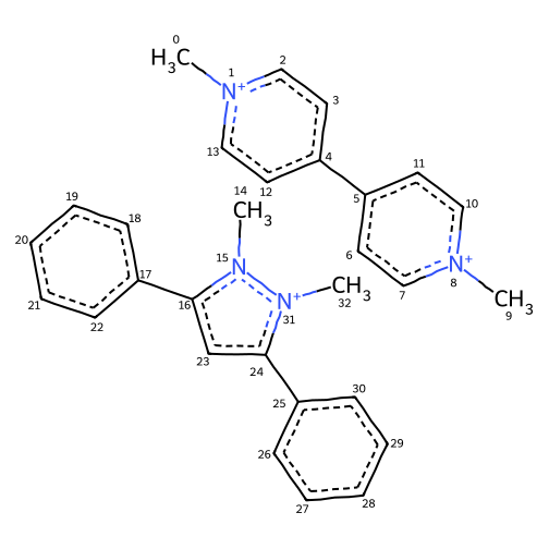 C[n+]1ccc(-c2cc[n+](C)cc2)cc1.Cn1c(-c2ccccc2)cc(-c2ccccc2)[n+]1C